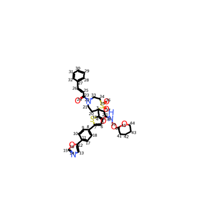 O=C(CC1(c2ccc(-c3ccc(-c4cnco4)cc3)s2)CCN(C(=O)C=Cc2ccccc2)CCS1(=O)=O)NOC1CCCCO1